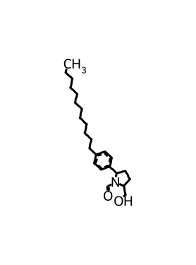 CCCCCCCCCCCCc1ccc(C2CCC(CO)N2C=O)cc1